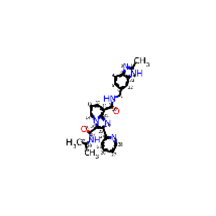 Cc1nc2ccc(CNC(=O)c3cccn4c(C(=O)NC(C)C)c(-c5ccccn5)nc34)cc2[nH]1